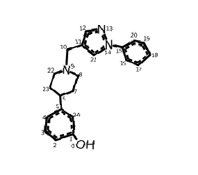 Oc1cccc(C2CCN(Cc3cnn(-c4ccccc4)c3)CC2)c1